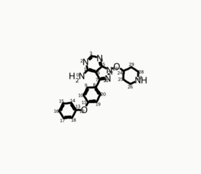 Nc1ncnc2c1c(-c1ccc(Oc3ccccc3)cc1)nn2OC1CCNCC1